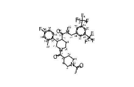 CC(=O)N1CCC(C(=O)N2CCC(C(=O)N(C)Cc3cc(C(F)(F)F)cc(C(F)(F)F)c3)C(c3ccc(F)cc3C)C2)CC1